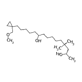 COCC1(CCCCCC(O)CCCCCC(C)(C)CC(C)O)CC1